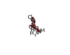 Cc1n[nH]c2ccc(NC(=O)c3ccc4c(c3)nc(CN3CCC(c5cccc(OCc6ccc(Cl)cc6F)n5)CC3)n4C[C@@H]3CCO3)cc12